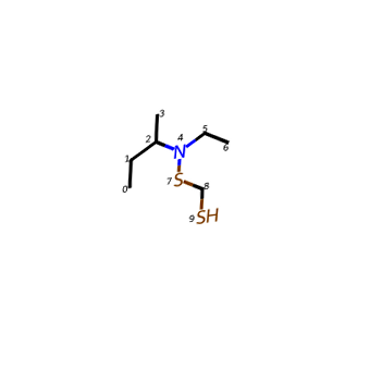 CCC(C)N(CC)SCS